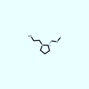 OCCN1CCC[C@H]1COI